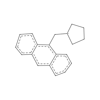 c1ccc2c(C[C]3CCCC3)c3ccccc3cc2c1